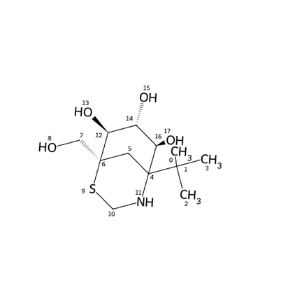 CC(C)(C)C12C[C@@](CO)(SCN1)[C@@H](O)[C@H](O)[C@H]2O